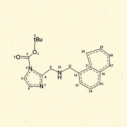 CC(C)(C)OC(=O)n1ccnc1CNCc1cccc2ccccc12